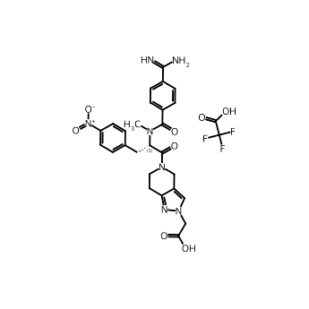 CN(C(=O)c1ccc(C(=N)N)cc1)[C@@H](Cc1ccc([N+](=O)[O-])cc1)C(=O)N1CCc2nn(CC(=O)O)cc2C1.O=C(O)C(F)(F)F